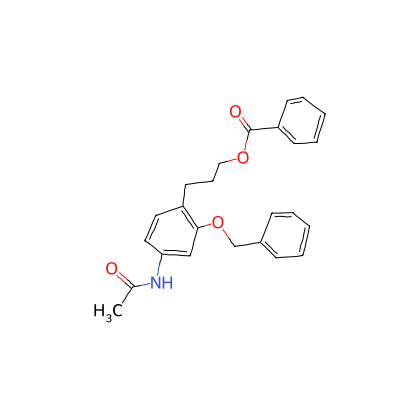 CC(=O)Nc1ccc(CCCOC(=O)c2ccccc2)c(OCc2ccccc2)c1